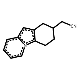 N#CCC1CCc2c(cc3ccccn23)C1